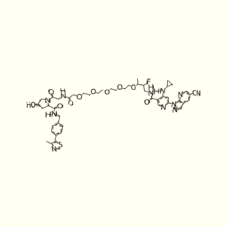 Cc1ncsc1-c1ccc(CNC(=O)C2C[C@@H](O)CN2C(=O)CNC(=O)COCCOCCOCCOCCOC(C)C(F)CNC(=O)c2cnc(-n3ncc4cc(C#N)cnc43)cc2NC2CC2)cc1